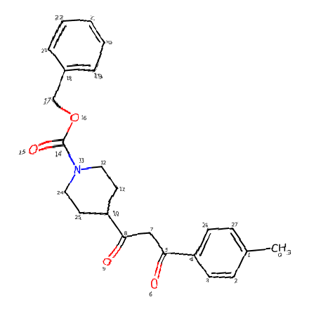 Cc1ccc(C(=O)CC(=O)C2CCN(C(=O)OCc3ccccc3)CC2)cc1